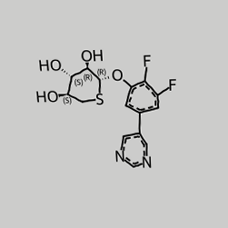 O[C@@H]1[C@@H](O)[C@H](Oc2cc(-c3cncnc3)cc(F)c2F)SC[C@H]1O